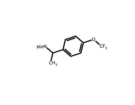 CNC(C)c1ccc(OC(F)(F)F)cc1